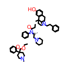 CC1C2Cc3ccc(O)cc3C1(C)CCN2CCc1ccccc1.CCC(=O)N(c1ccccc1)[C@H](C)CN1CCCCC1.CCOC(=O)C1(c2ccccc2)CCN(C)CC1